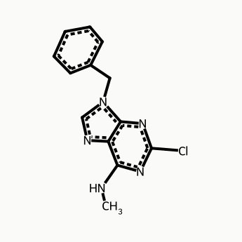 CNc1nc(Cl)nc2c1ncn2Cc1ccccc1